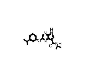 CC(C)NC(=O)c1c[nH]c2ncc(Oc3cccc(C(C)C)c3)nc12